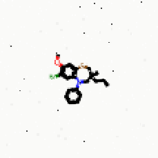 CCCC1(C)CSc2cc(OC)c(Br)cc2N(c2ccccc2)C1